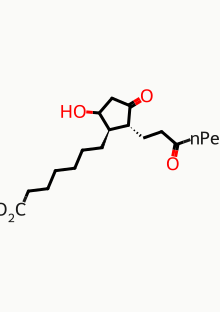 CCCCCC(=O)CC[C@H]1C(=O)CC(O)[C@@H]1CCCCCCC(=O)O